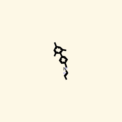 C/C=C/N=C/c1ccc(-c2c(C)cc(C)cc2C)cc1